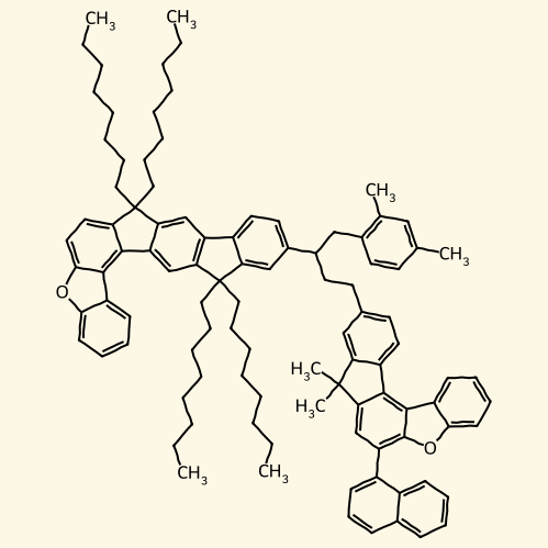 CCCCCCCCC1(CCCCCCCC)c2cc(C(CCc3ccc4c(c3)C(C)(C)c3cc(-c5cccc6ccccc56)c5oc6ccccc6c5c3-4)Cc3ccc(C)cc3C)ccc2-c2cc3c(cc21)-c1c(ccc2oc4ccccc4c12)C3(CCCCCCCC)CCCCCCCC